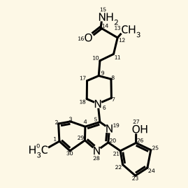 Cc1ccc2c(N3CCC(CCC(C)C(N)=O)CC3)nc(-c3ccccc3O)nc2c1